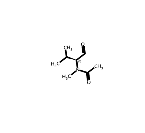 CC(=O)N(C)[C@H](C=O)C(C)C